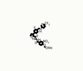 COCOc1ccc(C(=O)NNC(=O)c2occc2-c2ccc(CNc3ccc(C(F)(F)F)nc3)c(F)c2)cc1[N+](=O)[O-]